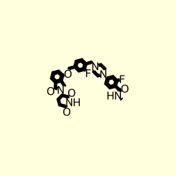 CNC(=O)c1ccc(N2CCN(Cc3ccc(COc4cccc5c4CN([C@H]4CCC(=O)NC4=O)C5=O)cc3F)CC2)cc1F